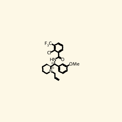 C=CCN1CCCC[C@H]1[C@@H](NC(=O)c1cccc(C(F)(F)F)c1Cl)c1cccc(OC)c1